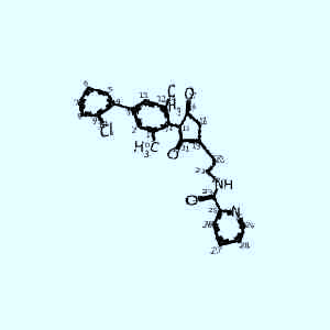 Cc1cc(-c2ccccc2Cl)cc(C)c1C1C(=O)CC(CCNC(=O)c2ccccn2)C1=O